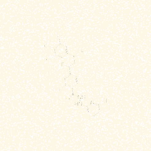 O=C(NNc1cccc(Cl)n1)c1ccc(C(F)=CC(c2cc(Cl)c(Cl)c(Cl)c2)C(F)(F)F)cc1C(F)(F)F